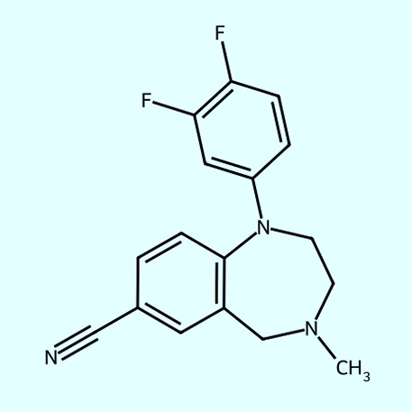 CN1CCN(c2ccc(F)c(F)c2)c2ccc(C#N)cc2C1